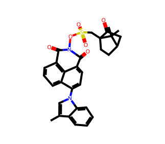 Cc1cn(-c2ccc3c4c(cccc24)C(=O)N(OS(=O)(=O)CC24CCC(CC2=O)C4(C)C)C3=O)c2ccccc12